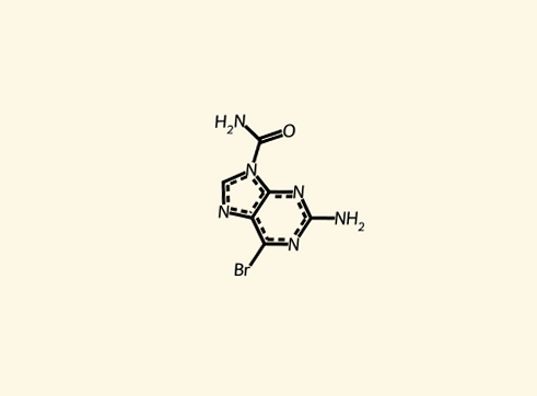 NC(=O)n1cnc2c(Br)nc(N)nc21